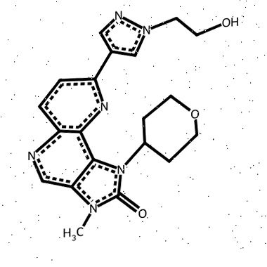 Cn1c(=O)n(C2CCOCC2)c2c3nc(-c4cnn(CCO)c4)ccc3ncc21